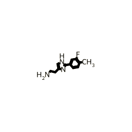 Cc1ccc(-c2nc(CCN)c[nH]2)cc1F